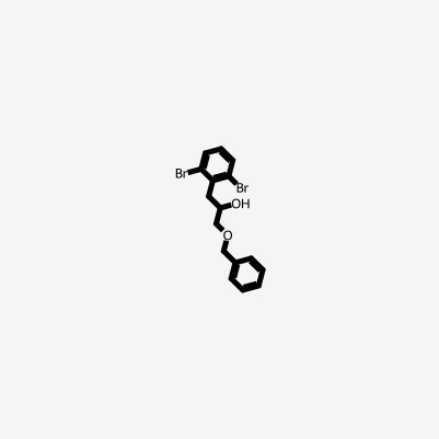 OC(COCc1ccccc1)Cc1c(Br)cccc1Br